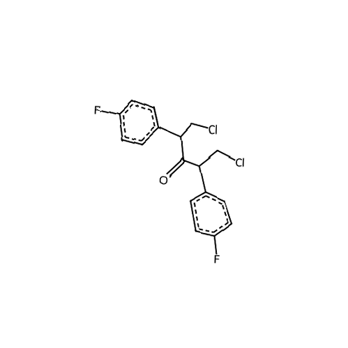 O=C(C(CCl)c1ccc(F)cc1)C(CCl)c1ccc(F)cc1